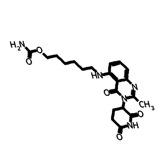 Cc1nc2cccc(NCCCCCCOC(N)=O)c2c(=O)n1C1CCC(=O)NC1=O